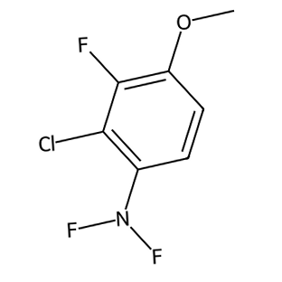 COc1ccc(N(F)F)c(Cl)c1F